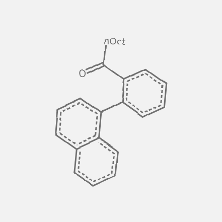 CCCCCCCCC(=O)c1ccccc1-c1cccc2ccccc12